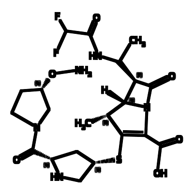 CC(NC(=O)C(F)F)[C@H]1C(=O)N2C(C(=O)O)=C(S[C@@H]3CN[C@H](C(=O)N4CC[C@H](ON)C4)C3)[C@H](C)[C@H]12